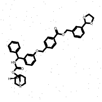 O=C(NC(c1ccccc1)c1cccc(OCc2ccc(C(=O)OCc3cccc(C4OCCO4)c3)cc2)c1)O[C@H]1CN2CCC1CC2